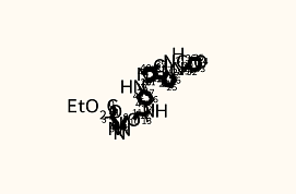 CCOC(=O)O[C@H](C)n1nnnc1COC[C@H](C)N[C@H]1CC[C@H](Nc2cc(-c3cccc(NCC4(C#N)CCOCC4)n3)c(Cl)cn2)CC1